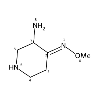 CON=C1CCNCC1N